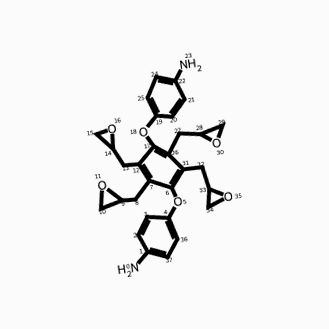 Nc1ccc(Oc2c(CC3CO3)c(CC3CO3)c(Oc3ccc(N)cc3)c(CC3CO3)c2CC2CO2)cc1